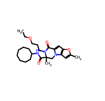 CCOCCCN1C(=O)c2cc3oc(C)cc3n2CC1(C)C(=O)NC1CCCCCCC1